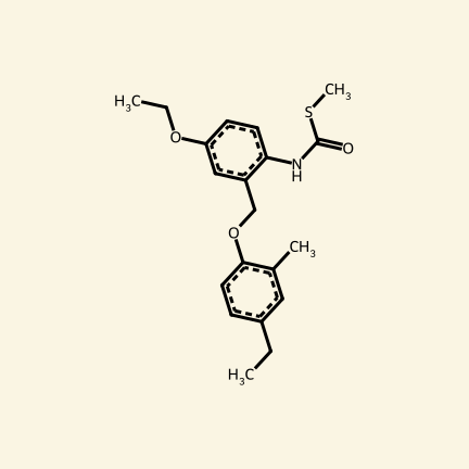 CCOc1ccc(NC(=O)SC)c(COc2ccc(CC)cc2C)c1